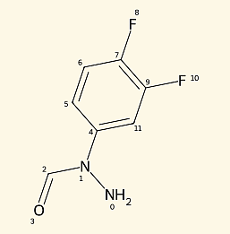 NN(C=O)c1ccc(F)c(F)c1